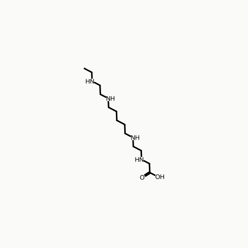 CCNCCNCCCCCNCCNCC(=O)O